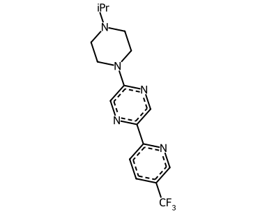 CC(C)N1CCN(c2cnc(-c3ccc(C(F)(F)F)cn3)cn2)CC1